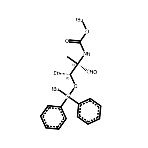 CC[C@@H](O[Si](c1ccccc1)(c1ccccc1)C(C)(C)C)[C@](C)(C=O)NC(=O)OC(C)(C)C